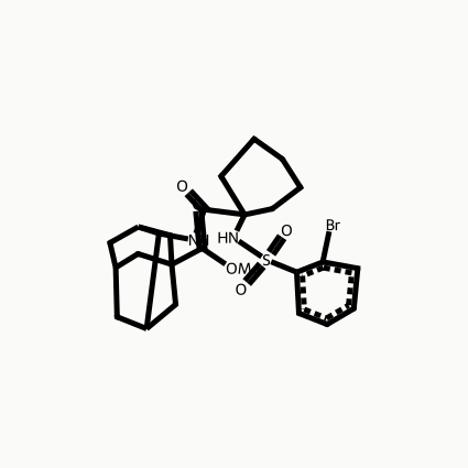 COC(=O)C12CC3CC(C1)C(NC(=O)C1(NS(=O)(=O)c4ccccc4Br)CCCCC1)C(C3)C2